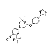 [C-]#[N+]c1ccc(N(CCOc2ccc(-c3ncco3)cc2)CC(F)(F)F)cc1C(F)(F)F